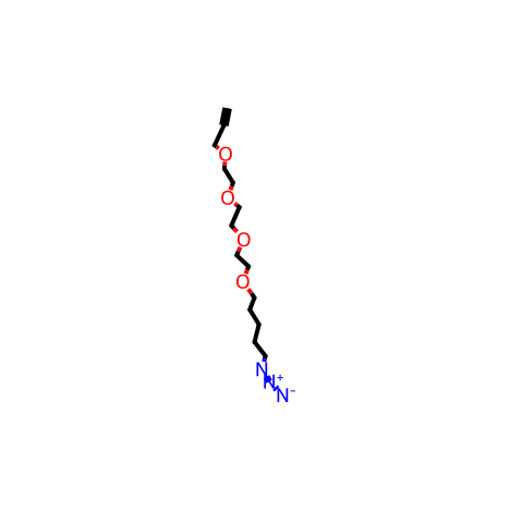 C#CCOCCOCCOCCOCCCCCN=[N+]=[N-]